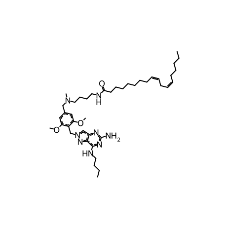 CCCCC/C=C\C/C=C\CCCCCCCC(=O)NCCCCN(C)Cc1cc(OC)c(Cn2cc3nc(N)nc(NCCCC)c3n2)c(OC)c1